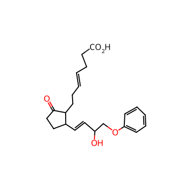 O=C(O)CCC=CCCC1C(=O)CCC1C=CC(O)COc1ccccc1